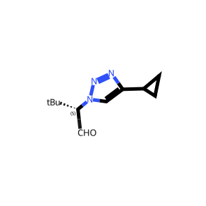 CC(C)(C)[C@@H](C=O)n1cc(C2CC2)nn1